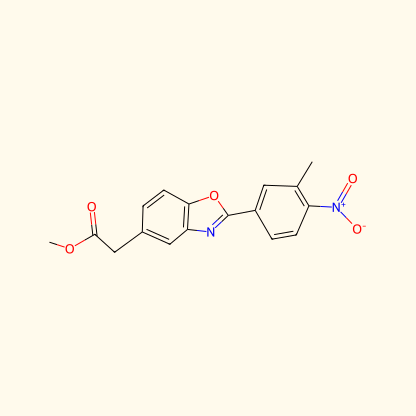 COC(=O)Cc1ccc2oc(-c3ccc([N+](=O)[O-])c(C)c3)nc2c1